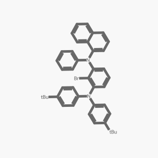 CC(C)(C)c1ccc(N(c2ccc(C(C)(C)C)cc2)c2cccc(N(c3ccccc3)c3cccc4ccccc34)c2Br)cc1